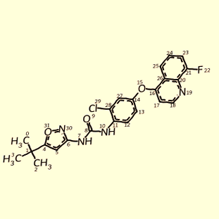 CC(C)(C)c1cc(NC(=O)Nc2ccc(Oc3ccnc4c(F)cccc34)cc2Cl)no1